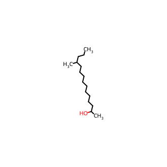 CCCC(C)CCCCCCCCCC(C)O